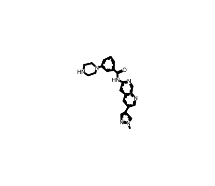 Cn1cc(-c2cnc3cnc(NC(=O)c4cccc(N5CCNCC5)c4)cc3c2)cn1